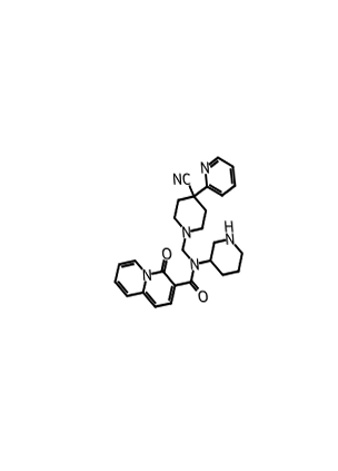 N#CC1(c2ccccn2)CCN(CN(C(=O)c2ccc3ccccn3c2=O)C2CCCNC2)CC1